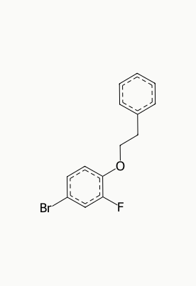 Fc1cc(Br)ccc1OCCc1ccccc1